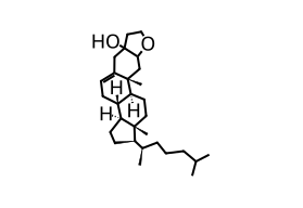 CC(C)CCC[C@@H](C)[C@H]1CC[C@H]2[C@@H]3CC=C4CC5(O)CCOC5C[C@]4(C)[C@H]3CC[C@]12C